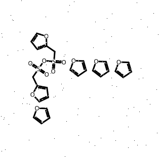 O=S(=O)(Cc1ccco1)OS(=O)(=O)Cc1ccco1.c1ccoc1.c1ccoc1.c1ccoc1.c1ccoc1